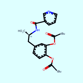 CC(C)(C)C(=O)Oc1ccc(C[C@H](NC(=O)c2cccnc2)C(=O)O)cc1OC(=O)C(C)(C)C